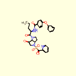 CCCC(NC(=O)c1ccc(Oc2ccccc2)cc1)C(=O)N1CCC2C1C(=O)CN2S(=O)(=O)C(=O)c1ccccn1